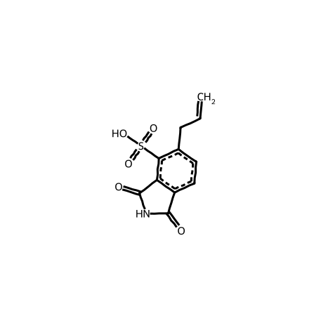 C=CCc1ccc2c(c1S(=O)(=O)O)C(=O)NC2=O